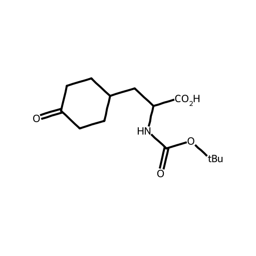 CC(C)(C)OC(=O)NC(CC1CCC(=O)CC1)C(=O)O